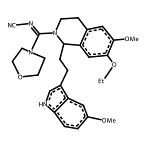 CCOc1cc2c(cc1OC)CCN(/C(=N/C#N)N1CCOCC1)C2CCc1c[nH]c2ccc(OC)cc12